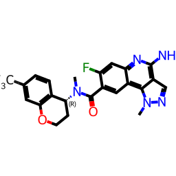 CN(C(=O)c1cc2c(cc1F)nc(N)c1cnn(C)c12)[C@@H]1CCOc2cc(C(F)(F)F)ccc21